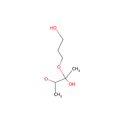 CC([O])C(C)(O)OCCCO